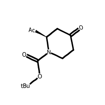 CC(=O)[C@H]1CC(=O)CCN1C(=O)OC(C)(C)C